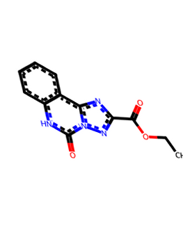 CCOC(=O)c1nc2c3ccccc3[nH]c(=O)n2n1